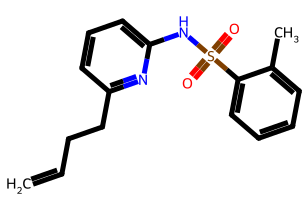 C=CCCc1cccc(NS(=O)(=O)c2ccccc2C)n1